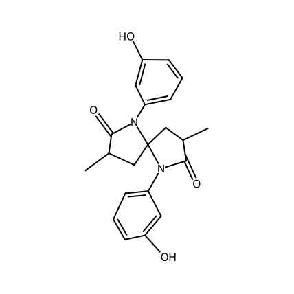 CC1CC2(CC(C)C(=O)N2c2cccc(O)c2)N(c2cccc(O)c2)C1=O